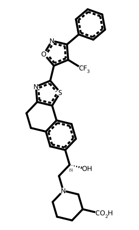 O=C(O)C1CCCN(C[C@@H](O)c2ccc3c(c2)CCc2nc(-c4onc(-c5ccccc5)c4C(F)(F)F)sc2-3)C1